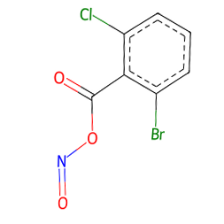 O=NOC(=O)c1c(Cl)cccc1Br